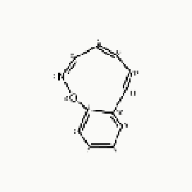 c1ccnoc2ccccc2cc1